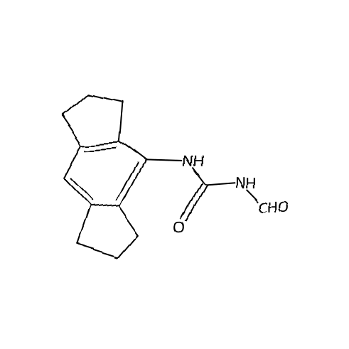 O=CNC(=O)Nc1c2c(cc3c1CCC3)CCC2